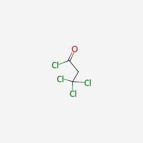 O=C(Cl)CC(Cl)(Cl)Cl